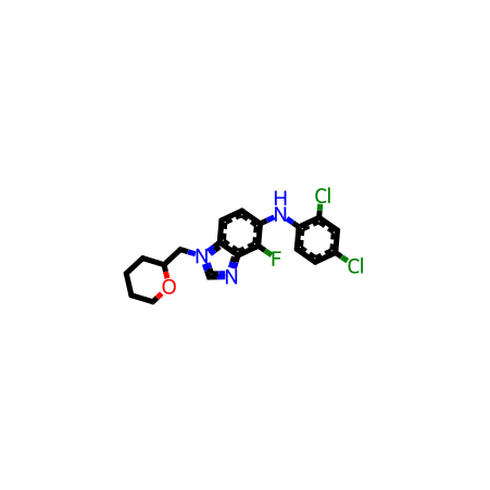 Fc1c(Nc2ccc(Cl)cc2Cl)ccc2c1ncn2CC1CCCCO1